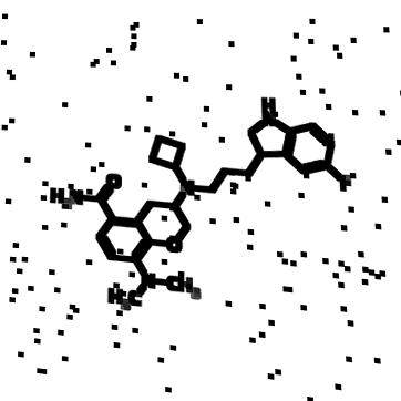 CN(C)c1ccc(C(N)=O)c2c1OCC(N(CCCC1CNc3ccc(F)cc31)C1CCC1)C2